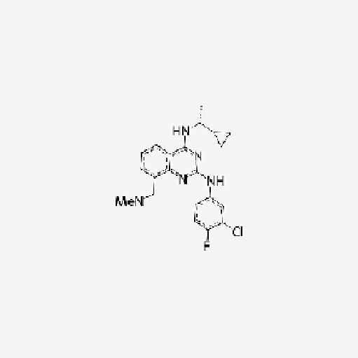 CNCc1cccc2c(N[C@H](C)C3CC3)nc(Nc3ccc(F)c(Cl)c3)nc12